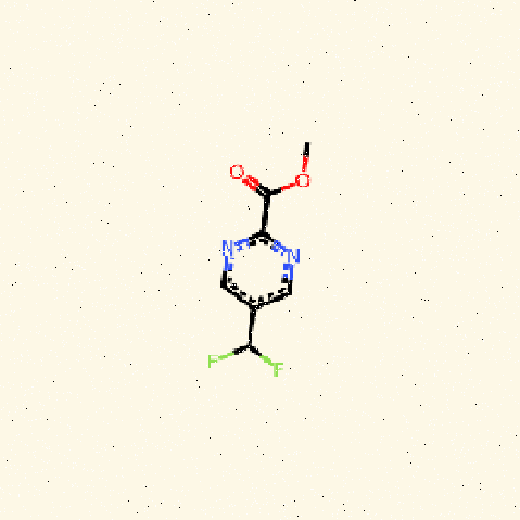 COC(=O)c1ncc(C(F)F)cn1